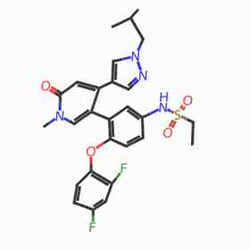 CCS(=O)(=O)Nc1ccc(Oc2ccc(F)cc2F)c(-c2cn(C)c(=O)cc2-c2cnn(CC(C)C)c2)c1